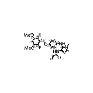 C=CC(=O)Nc1ncn(C)c1Nc1ncc(OCc2c(F)c(OC)cc(OC)c2F)cn1